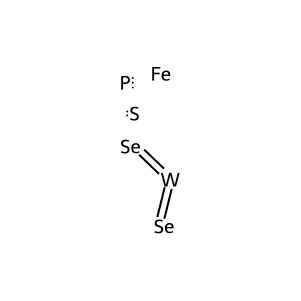 [Fe].[P].[S].[Se]=[W]=[Se]